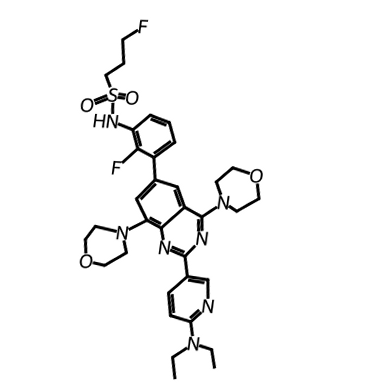 CCN(CC)c1ccc(-c2nc(N3CCOCC3)c3cc(-c4cccc(NS(=O)(=O)CCCF)c4F)cc(N4CCOCC4)c3n2)cn1